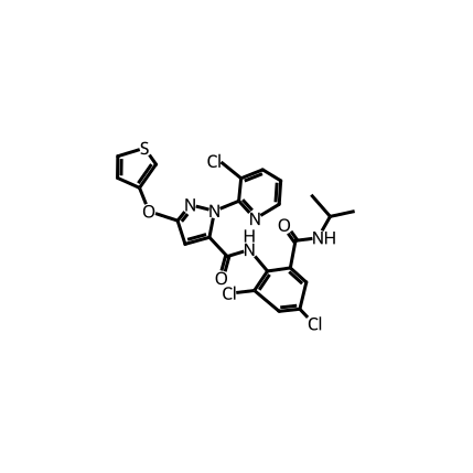 CC(C)NC(=O)c1cc(Cl)cc(Cl)c1NC(=O)c1cc(Oc2ccsc2)nn1-c1ncccc1Cl